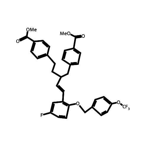 COC(=O)c1ccc(CCC(C=Cc2cc(F)ccc2OCc2ccc(OC(F)(F)F)cc2)Cc2ccc(C(=O)OC)cc2)cc1